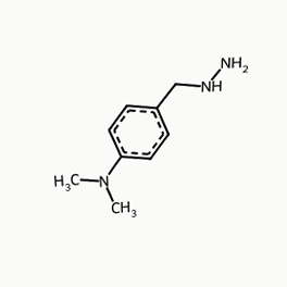 CN(C)c1ccc(CNN)cc1